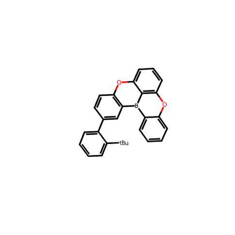 CC(C)(C)c1ccccc1-c1ccc2c(c1)B1c3ccccc3Oc3cccc(c31)O2